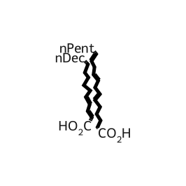 CCCCCC=CCC=CCC=CCCCCC(=O)O.CCCCCCCCCCCCCCCC=CC=CC(=O)O